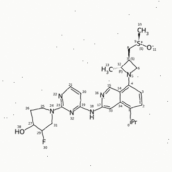 CC(C)c1ccc(N2C[C@H](C[S@@+](C)[O-])[C@H]2C)c2cnc(Nc3ccnc(N4CCC(O)C(F)C4)n3)cc12